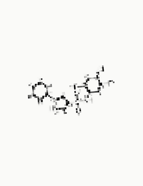 O=S(=O)(Nc1cc(F)c(Cl)cc1F)c1c[nH]c(-c2ccccn2)c1